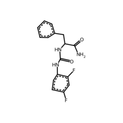 NC(=O)C(Cc1ccccc1)NC(=O)Nc1ccc(F)cc1F